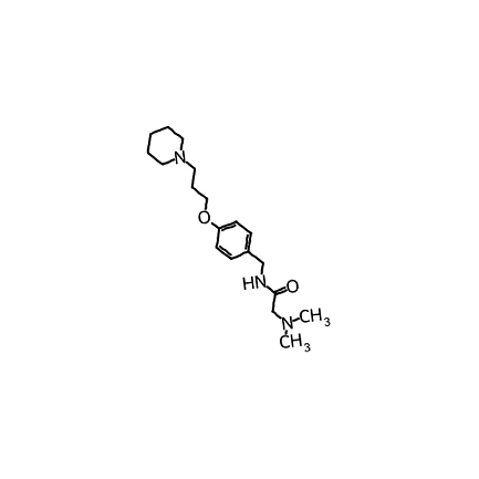 CN(C)CC(=O)NCc1ccc(OCCCN2CCCCC2)cc1